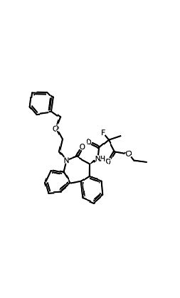 CCOC(=O)C(C)(F)C(=O)N[C@@H]1C(=O)N(CCOCc2ccccc2)c2ccccc2-c2ccccc21